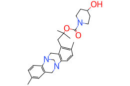 Cc1ccc2c(c1)CN1CN2Cc2c1ccc(C)c2CC(C)(C)OC(=O)N1CCC(O)CC1